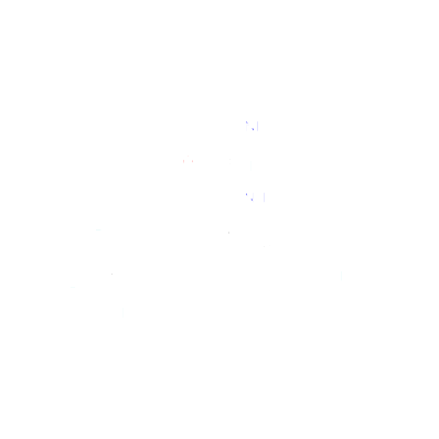 NC(=O)NC1(C(=O)c2c(F)cccc2F)C=CC(C(F)(F)F)=CC1